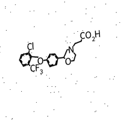 O=C(O)CCN1CCOC(c2ccc(OCc3c(Cl)cccc3C(F)(F)F)cc2)C1